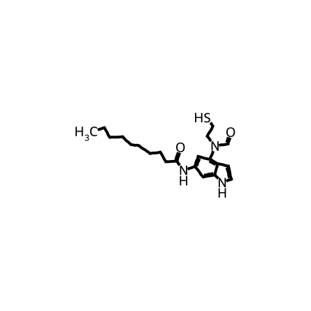 CCCCCCCCCC(=O)Nc1cc(N(C=O)CCS)c2cc[nH]c2c1